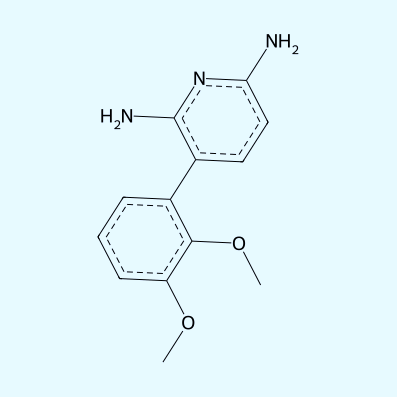 COc1cccc(-c2ccc(N)nc2N)c1OC